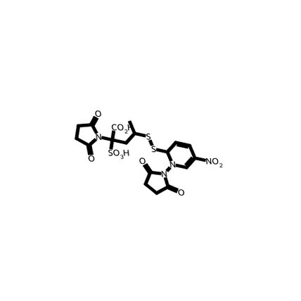 CC(CC(C(=O)O)(N1C(=O)CCC1=O)S(=O)(=O)O)SSC1C=CC([N+](=O)[O-])=CN1N1C(=O)CCC1=O